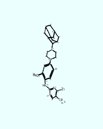 COc1cc(N2CCN(C3C4C[C]5CC(C4)CC3C5)CC2)ccc1Nc1ncc(C(F)(F)F)c(Cl)n1